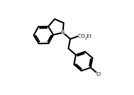 CCOC(=O)C(Cc1ccc(Cl)cc1)N1CCc2ccccc21